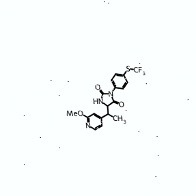 COc1cc(C(C)C2NC(=O)N(c3ccc(SC(F)(F)F)cc3)C2=O)ccn1